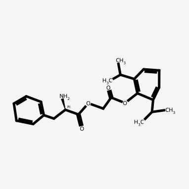 CC(C)c1cccc(C(C)C)c1OC(=O)COC(=O)[C@H](N)Cc1ccccc1